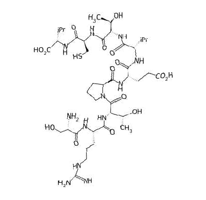 CC(C)[C@H](NC(=O)[C@H](CS)NC(=O)[C@@H](NC(=O)[C@@H](NC(=O)[C@H](CCC(=O)O)NC(=O)[C@@H]1CCCN1C(=O)[C@@H](NC(=O)[C@H](CCCNC(=N)N)NC(=O)[C@@H](N)CO)[C@@H](C)O)C(C)C)[C@@H](C)O)C(=O)O